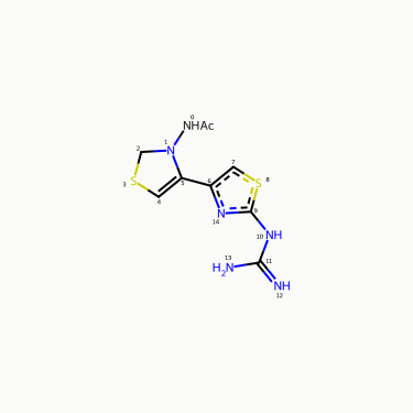 CC(=O)NN1CSC=C1c1csc(NC(=N)N)n1